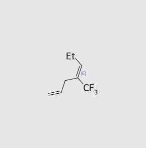 C=CC/C(=C\CC)C(F)(F)F